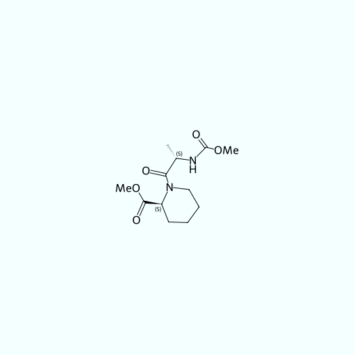 COC(=O)N[C@@H](C)C(=O)N1CCCC[C@H]1C(=O)OC